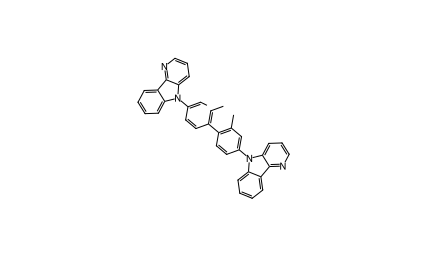 C/C=C(/C=C\C(=C/C)n1c2ccccc2c2ncccc21)c1ccc(-n2c3ccccc3c3ncccc32)cc1C